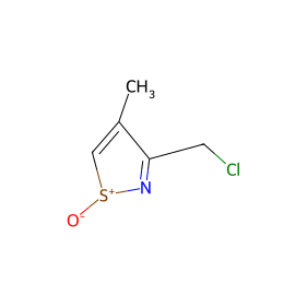 Cc1c[s+]([O-])nc1CCl